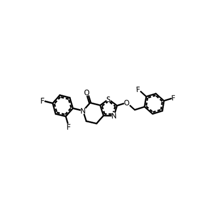 O=C1c2sc(OCc3ccc(F)cc3F)nc2CCN1c1ccc(F)cc1F